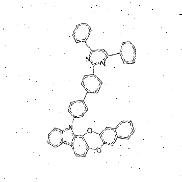 c1ccc(-c2cc(-c3ccccc3)nc(-c3ccc(-c4ccc(-n5c6ccccc6c6ccc7c(c65)Oc5cc6ccccc6cc5O7)cc4)cc3)n2)cc1